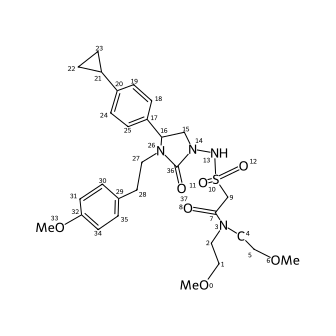 COCCN(CCOC)C(=O)CS(=O)(=O)NN1CC(c2ccc(C3CC3)cc2)N(CCc2ccc(OC)cc2)C1=O